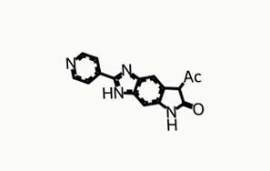 CC(=O)C1C(=O)Nc2cc3[nH]c(-c4ccncc4)nc3cc21